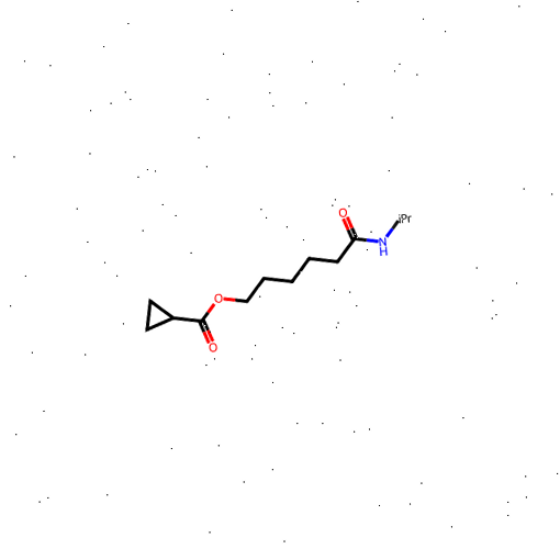 CC(C)NC(=O)CCCCCOC(=O)C1CC1